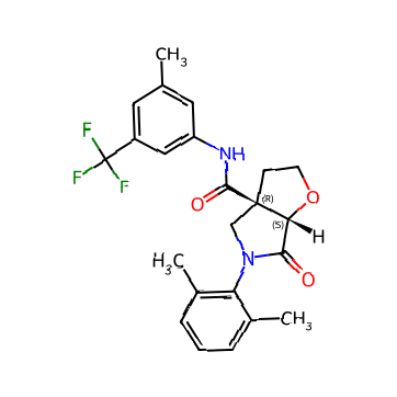 Cc1cc(NC(=O)[C@@]23CCO[C@@H]2C(=O)N(c2c(C)cccc2C)C3)cc(C(F)(F)F)c1